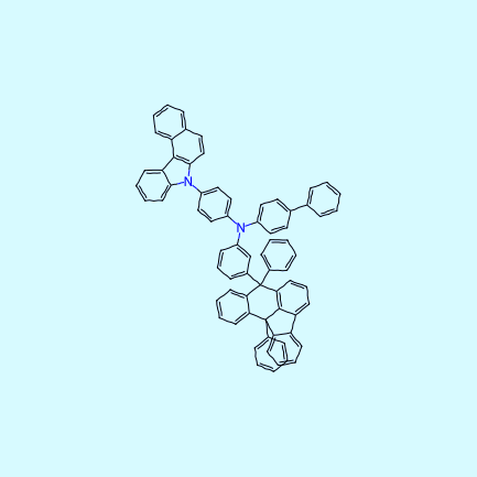 c1ccc(-c2ccc(N(c3ccc(-n4c5ccccc5c5c6ccccc6ccc54)cc3)c3cccc(C4(c5ccccc5)c5ccccc5C5(c6ccccc6)c6ccccc6-c6cccc4c65)c3)cc2)cc1